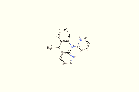 CCc1ccccc1N(c1ccccn1)c1ccccn1